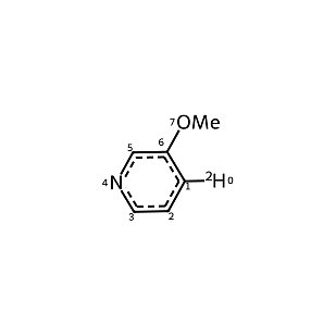 [2H]c1ccncc1OC